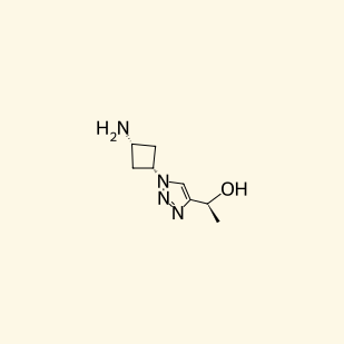 C[C@H](O)c1cn([C@H]2C[C@@H](N)C2)nn1